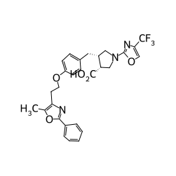 Cc1oc(-c2ccccc2)nc1CCOc1ccc(C[C@@H]2CN(c3nc(C(F)(F)F)co3)C[C@@H]2C(=O)O)cc1